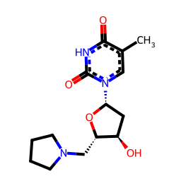 Cc1cn([C@@H]2C[C@@H](O)[C@H](CN3CCCC3)O2)c(=O)[nH]c1=O